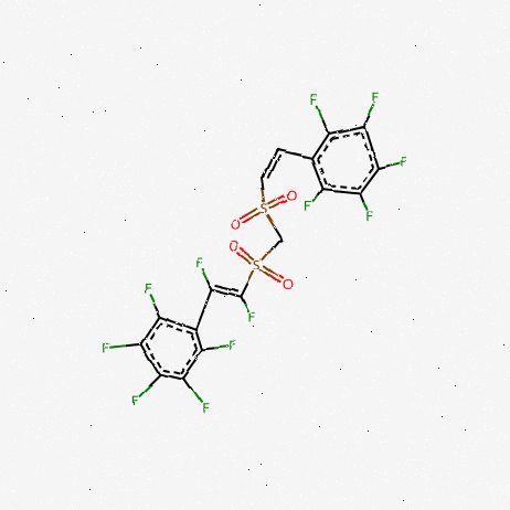 O=S(=O)(/C=C\c1c(F)c(F)c(F)c(F)c1F)CS(=O)(=O)C(F)=C(F)c1c(F)c(F)c(F)c(F)c1F